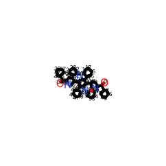 O=C(c1ccccc1)c1ccc(-c2c3c4ccccc4n(-c4ccccc4)c3c(-c3ccc(C(=O)c4ccccc4)nc3)c3c4ccccc4n(-c4ccccc4)c23)cn1